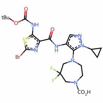 CC(C)(C)OC(=O)Nc1sc(Br)nc1C(=O)Nc1cnn(C2CC2)c1N1CCN(C(=O)O)CC(F)(F)C1